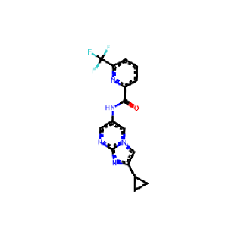 O=C(Nc1cnc2nc(C3CC3)cn2c1)c1cccc(C(F)(F)F)n1